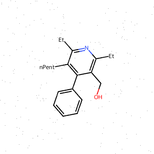 CCCCCc1c(CC)nc(CC)c(CO)c1-c1ccccc1